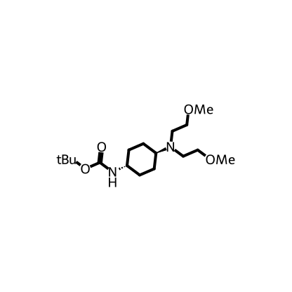 COCCN(CCOC)[C@H]1CC[C@H](NC(=O)OC(C)(C)C)CC1